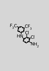 Nc1ccc(Nc2cc(C(F)(F)F)cc(C(F)(F)F)c2)c(Cl)c1Cl